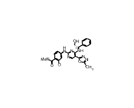 CNC(=O)c1ccc(Nc2ncc(-c3nnc(C)o3)c(N[C@H](CO)c3ccccc3)n2)cc1Cl